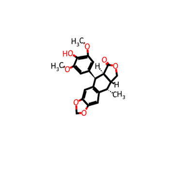 COc1cc([C@@H]2c3cc4c(cc3[C@@H](C)[C@H]3COC(=O)[C@H]23)OCO4)cc(OC)c1O